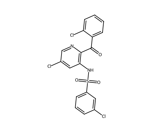 O=C(c1ccccc1Cl)c1ncc(Cl)cc1NS(=O)(=O)c1cccc(Cl)c1